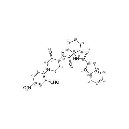 O=Cc1cc([N+](=O)[O-])ccc1N1CCC(NC(=O)C2(NC(=O)c3cc4ccccc4o3)CCCCC2)C(=O)C1